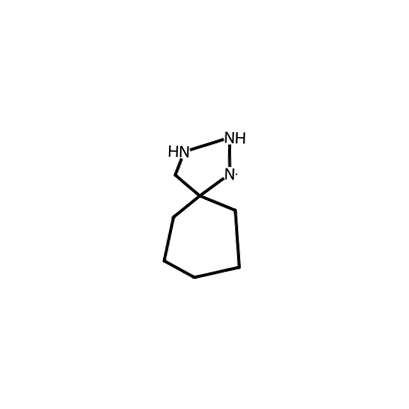 C1CCC2(CC1)CNN[N]2